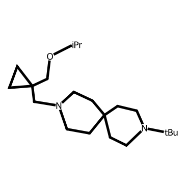 CC(C)OCC1(CN2CCC3(CC2)CCN(C(C)(C)C)CC3)CC1